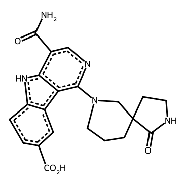 NC(=O)c1cnc(N2CCCC3(CCNC3=O)C2)c2c1[nH]c1ccc(C(=O)O)cc12